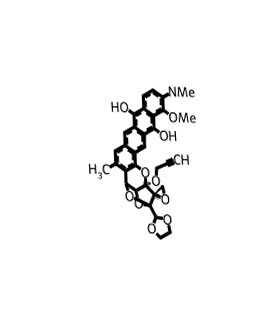 C#CCO[C@@]12Oc3c(c(C)cc4cc5c(O)c6ccc(NC)c(OC)c6c(O)c5cc34)C3OC(C4OCCO4)(OC31)[C@]21CO1